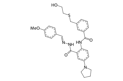 COc1ccc(C=NNC(=O)c2cc(N3CCCC3)ccc2NC(=O)c2cccc(CSCCO)c2)cc1